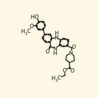 CCOC(=O)C1CCN(C(=O)c2ccc3c(c2)NC(=O)c2ccc(-c4ccc(O)c(OC)c4)cc2N3)CC1